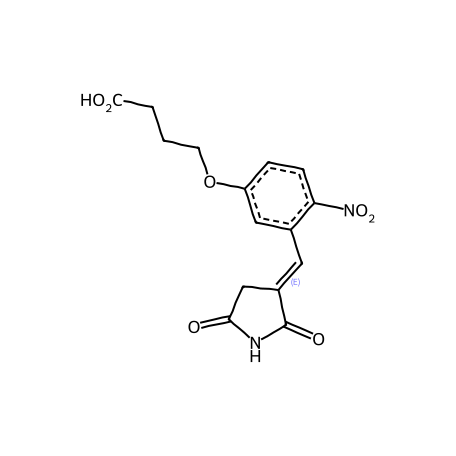 O=C(O)CCCOc1ccc([N+](=O)[O-])c(/C=C2\CC(=O)NC2=O)c1